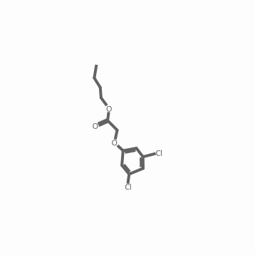 CCCCOC(=O)COc1cc(Cl)cc(Cl)c1